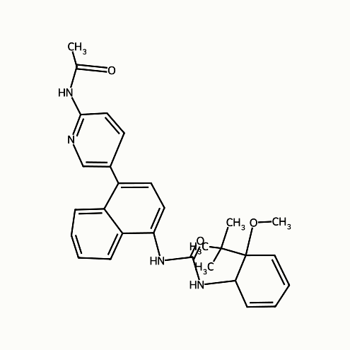 COC1(C(C)(C)C)C=CC=CC1NC(=O)Nc1ccc(-c2ccc(NC(C)=O)nc2)c2ccccc12